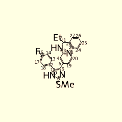 CCC(Nc1cc(-c2nc(SC)[nH]c2-c2ccc(F)cc2)ccn1)c1ccccc1